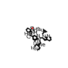 COc1cc(C(=O)N2C[C@H]3CC[C@@H]2[C@@H]3NC(=O)OC(C)(C)C)cc2nc(-c3cc4cccnc4n3CC3CC3)n(CC3CCNCC3)c12